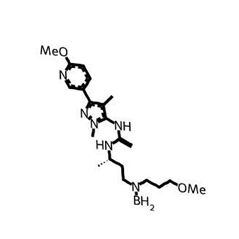 BN(CCCOC)CC[C@H](C)NC(=C)Nc1c(C)c(-c2ccc(OC)nc2)nn1C